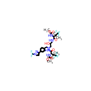 COC(=O)NC(C(=O)NC[C@@H](O)CN(Cc1ccc(-c2ccn(C(F)F)n2)cc1)NC(=O)[C@@H](NC(=O)OC)C(C)(C)C(F)(F)F)C(C)(C)C(F)(F)F